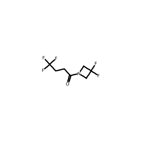 O=C(CCC(F)(F)F)N1CC(F)(F)C1